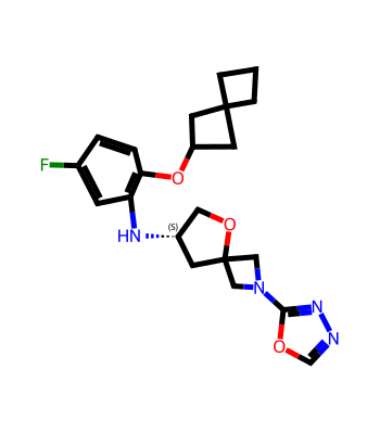 Fc1ccc(OC2CC3(CCC3)C2)c(N[C@@H]2COC3(C2)CN(c2nnco2)C3)c1